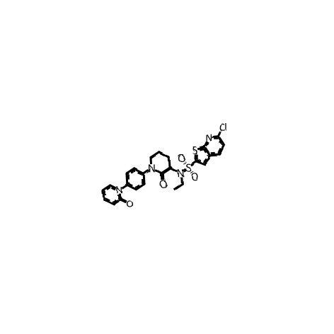 CCN(C1CCCN(c2ccc(-n3ccccc3=O)cc2)C1=O)S(=O)(=O)c1cc2ccc(Cl)nc2s1